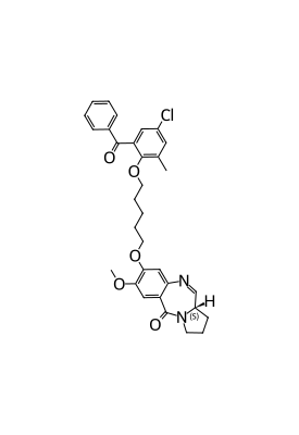 COc1cc2c(cc1OCCCCCOc1c(C)cc(Cl)cc1C(=O)c1ccccc1)N=C[C@@H]1CCCN1C2=O